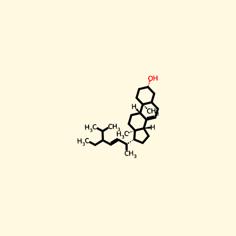 CCC(C=CC(C)[C@H]1CC[C@H]2C3=CCC4C[C@@H](O)CC[C@]4(C)[C@H]3CC[C@]12C)C(C)C